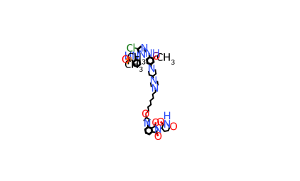 COc1cc(N2CCC(N3CCN(CCCCCCCOC4CN(c5cccc6c5C(=O)N(C5CCC(=O)NC5=O)C6=O)C4)CC3)CC2)ccc1Nc1ncc(Cl)c(Nc2ccccc2P(C)(C)=O)n1